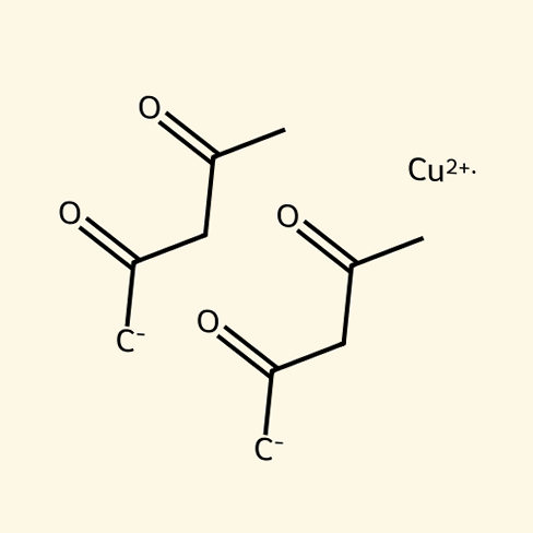 [CH2-]C(=O)CC(C)=O.[CH2-]C(=O)CC(C)=O.[Cu+2]